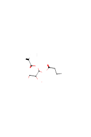 C=C(C)C(=O)OC(OC(=O)CCC(=O)O)C(O)CO